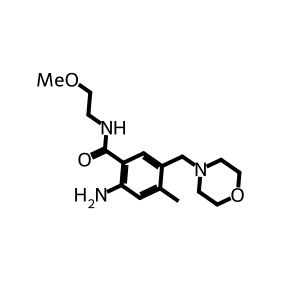 COCCNC(=O)c1cc(CN2CCOCC2)c(C)cc1N